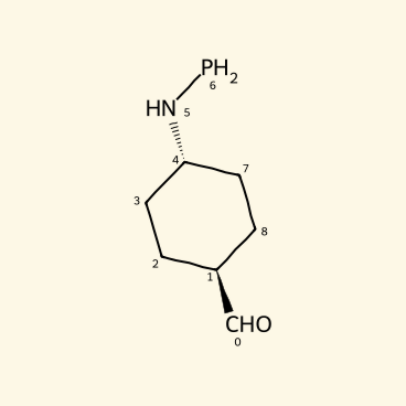 O=C[C@H]1CC[C@H](NP)CC1